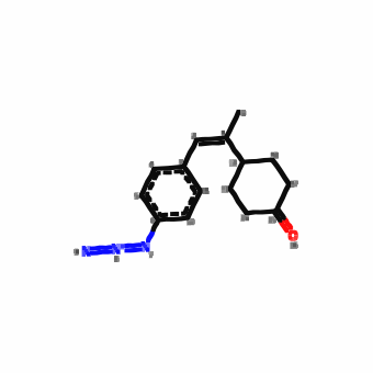 CC(=Cc1ccc(N=[N+]=[N-])cc1)C1CCC(=O)CC1